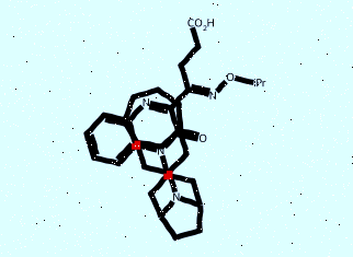 CC(C)O/N=C(\CCC(=O)O)c1nc2ccccc2n(C2CC3CCC(C2)N3C2CC3CCCCC(C3)C2)c1=O